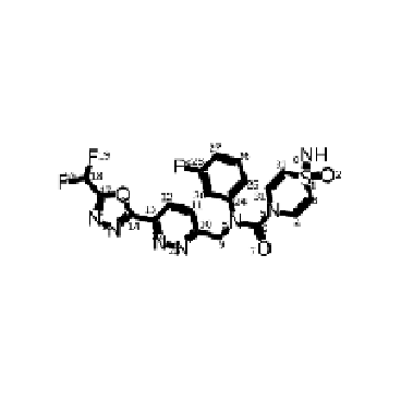 N=S1(=O)C=CN(C(=O)N(Cc2ccc(-c3nnc(C(F)F)o3)nn2)c2cccc(F)c2)C=C1